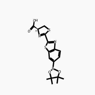 CC1(C)OB(c2ccc3nc(C4=N[C@@H](C(=O)O)CS4)sc3c2)OC1(C)C